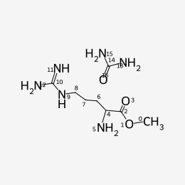 COC(=O)C(N)CCCNC(=N)N.NC(N)=O